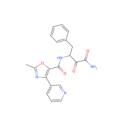 Cc1nc(-c2cccnc2)c(C(=O)NC(Cc2ccccc2)C(=O)C(N)=O)o1